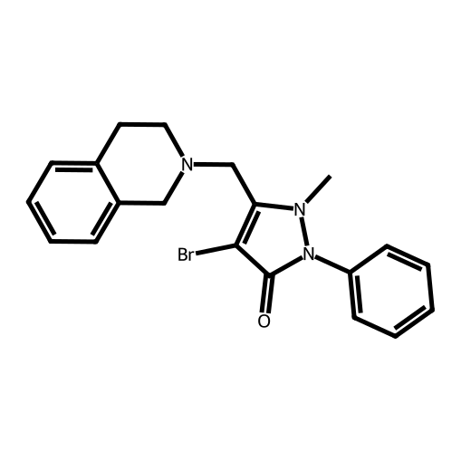 Cn1c(CN2CCc3ccccc3C2)c(Br)c(=O)n1-c1ccccc1